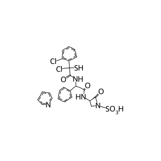 O=C(NC1CN(S(=O)(=O)O)C1=O)C(NC(=O)C(S)(Cl)c1ccccc1Cl)c1ccccc1.c1ccncc1